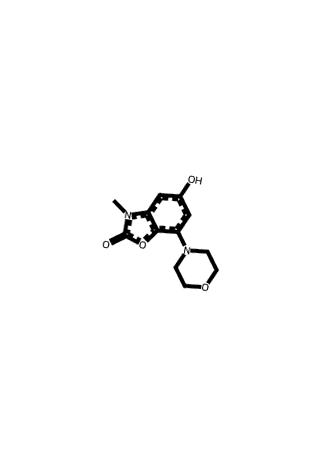 Cn1c(=O)oc2c(N3CCOCC3)cc(O)cc21